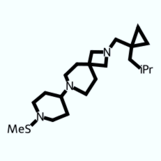 CSN1CCC(N2CCC3(CC2)CN(CC2(CC(C)C)CC2)C3)CC1